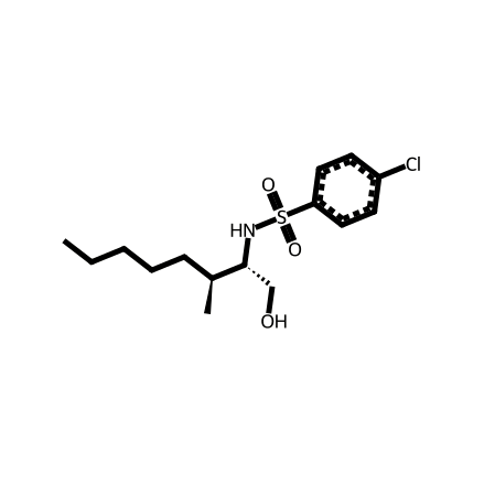 CCCCC[C@H](C)[C@@H](CO)NS(=O)(=O)c1ccc(Cl)cc1